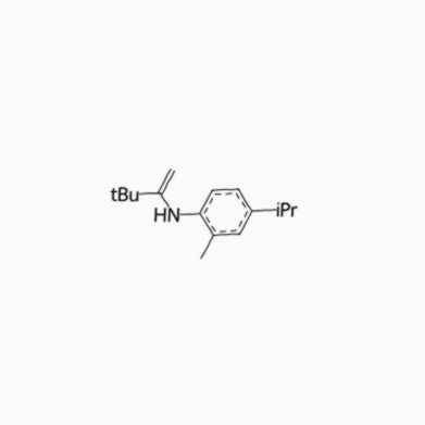 C=C(Nc1ccc(C(C)C)cc1C)C(C)(C)C